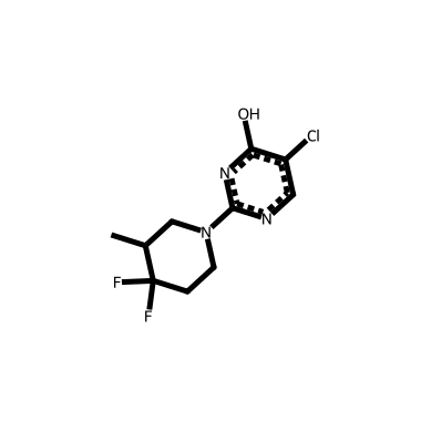 CC1CN(c2ncc(Cl)c(O)n2)CCC1(F)F